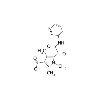 Cc1c(C(=O)O)c(C)n(C)c1C(=O)C(=O)Nc1cccnc1